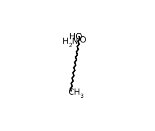 CCCCCCCCCCCCCCCCCCCC(N)C(=O)O